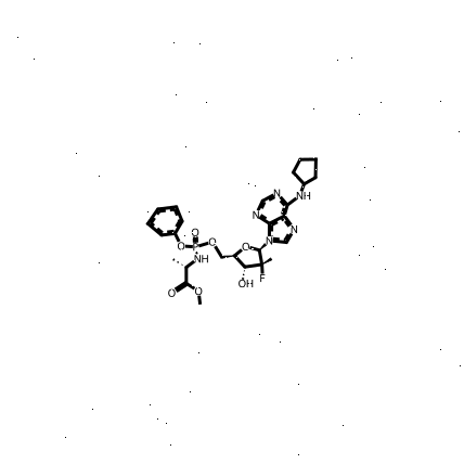 COC(=O)[C@H](C)N[P@](=O)(OC[C@H]1O[C@@H](n2cnc3c(NC4CCCC4)ncnc32)[C@](C)(F)[C@@H]1O)Oc1ccccc1